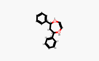 C1=COC(c2ccccc2)CC(c2ccccc2)O1